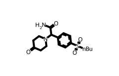 CCCCS(=O)(=O)c1ccc(C(C(N)=O)N2CCC(=O)CC2)cc1